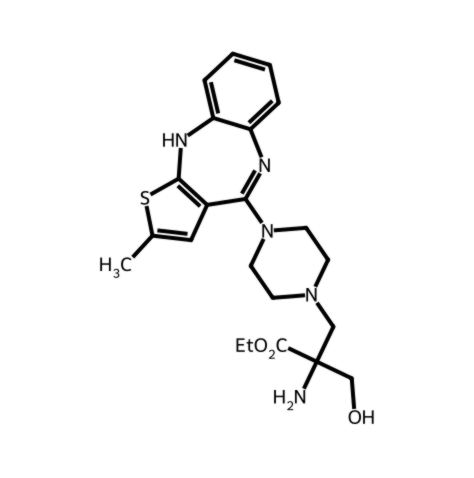 CCOC(=O)C(N)(CO)CN1CCN(C2=Nc3ccccc3Nc3sc(C)cc32)CC1